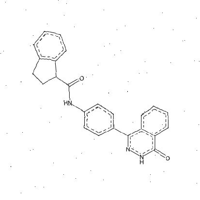 O=C(Nc1ccc(-c2n[nH]c(=O)c3ccccc23)cc1)C1CCc2ccccc21